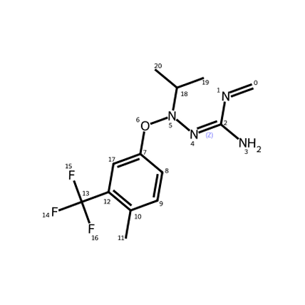 C=N/C(N)=N\N(Oc1ccc(C)c(C(F)(F)F)c1)C(C)C